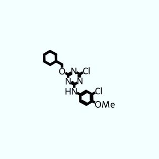 COc1ccc(Nc2nc(Cl)nc(OCC3CCCCC3)n2)cc1Cl